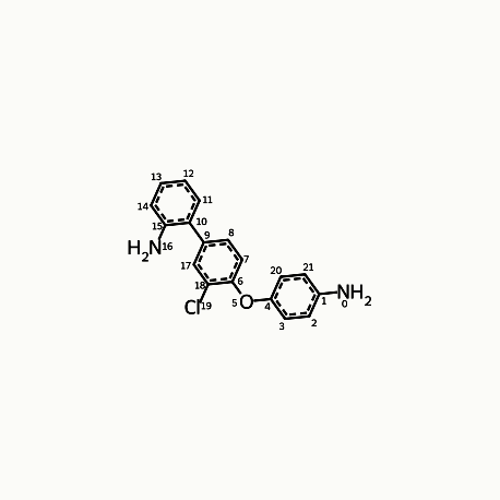 Nc1ccc(Oc2ccc(-c3ccccc3N)cc2Cl)cc1